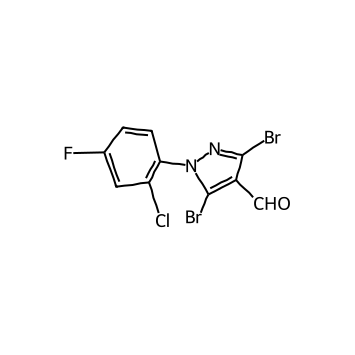 O=Cc1c(Br)nn(-c2ccc(F)cc2Cl)c1Br